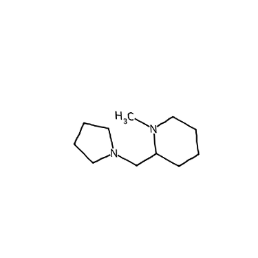 CN1CCCCC1CN1CCCC1